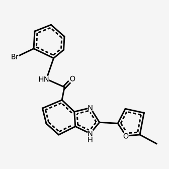 Cc1ccc(-c2nc3c(C(=O)Nc4ccccc4Br)cccc3[nH]2)o1